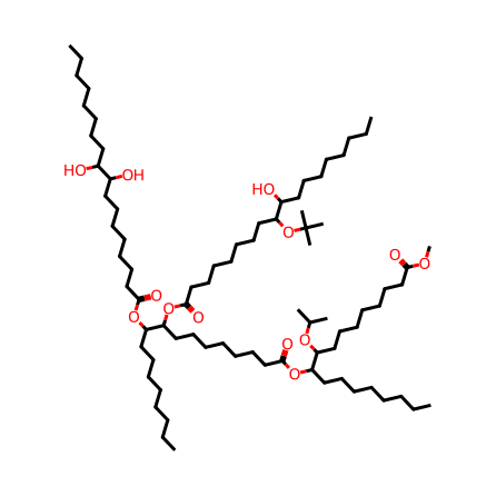 CCCCCCCCC(O)C(O)CCCCCCCC(=O)OC(CCCCCCCC)C(CCCCCCCC(=O)OC(CCCCCCCC)C(CCCCCCCC(=O)OC)OC(C)C)OC(=O)CCCCCCCC(OC(C)(C)C)C(O)CCCCCCCC